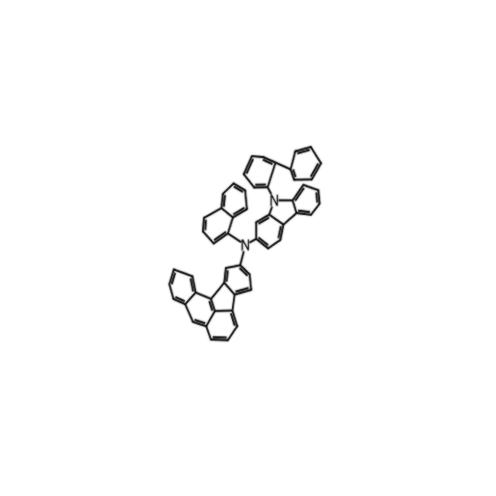 c1ccc(-c2ccccc2-n2c3ccccc3c3ccc(N(c4ccc5c(c4)-c4c6ccccc6cc6cccc-5c46)c4cccc5ccccc45)cc32)cc1